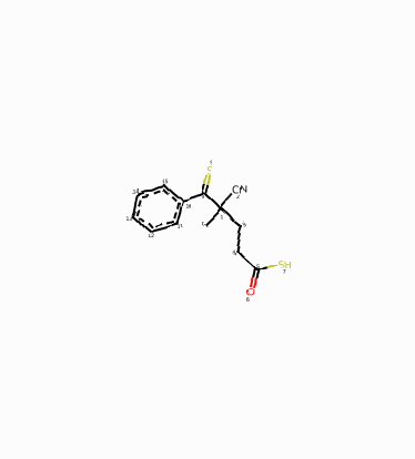 CC(C#N)(CCC(=O)S)C(=S)c1ccccc1